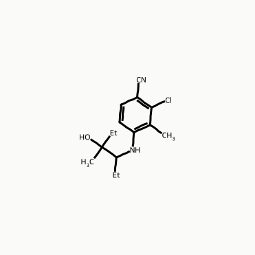 CCC(Nc1ccc(C#N)c(Cl)c1C)C(C)(O)CC